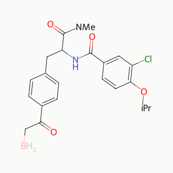 BCC(=O)c1ccc(CC(NC(=O)c2ccc(OC(C)C)c(Cl)c2)C(=O)NC)cc1